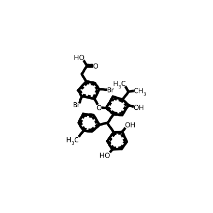 Cc1cccc(C(c2cc(O)ccc2O)c2cc(O)c(C(C)C)cc2Oc2c(Br)cc(CC(=O)O)cc2Br)c1